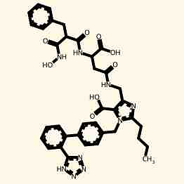 CCCCc1nc(CNC(=O)CC(NC(=O)C(Cc2ccccc2)C(=O)NO)C(=O)O)c(C(=O)O)n1Cc1ccc(-c2ccccc2-c2nnn[nH]2)cc1